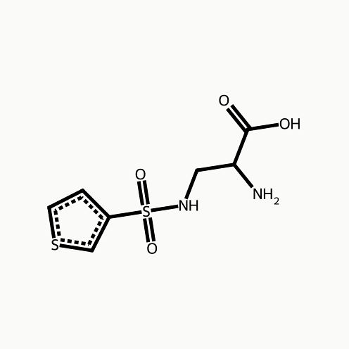 NC(CNS(=O)(=O)c1ccsc1)C(=O)O